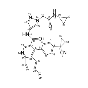 N#CC1(c2ccc(-c3c(C(=O)Nc4cnn(CC(=O)NC5CC5)c4)cnc4ccc(F)cc34)cc2)CC1